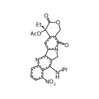 CC[C@@]1(OC(C)=O)C(=O)OCc2c1cc1n(c2=O)Cc2c-1nc1cccc([N+](=O)[O-])c1c2NC(C)C